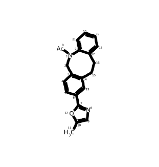 CC(=O)N1Cc2ccc(-c3ncc(C)o3)cc2CCc2ccccc21